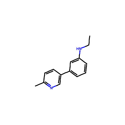 CCNc1cccc(-c2ccc(C)nc2)c1